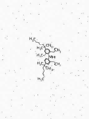 CCCCCC(C)(C)c1ccc(Nc2c(CC)cc(C(C)(C)CCCCC)cc2CC)c(CC)c1